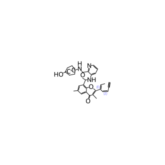 C#C/C=C\C(=C/C)c1oc2c(C(C)Nc3cccnc3C(=O)NC34CCC(O)(CC3)CC4)cc(C)cc2c(=O)c1C